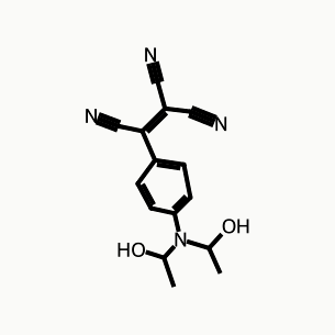 CC(O)N(c1ccc(C(C#N)=C(C#N)C#N)cc1)C(C)O